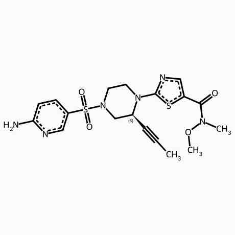 CC#C[C@H]1CN(S(=O)(=O)c2ccc(N)nc2)CCN1c1ncc(C(=O)N(C)OC)s1